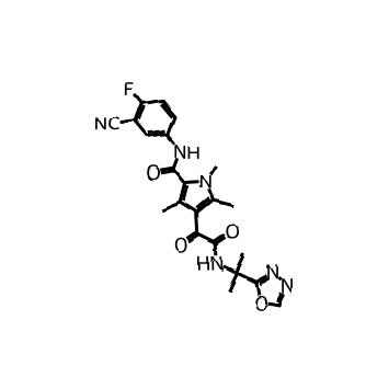 Cc1c(C(=O)C(=O)NC(C)(C)c2nnco2)c(C)n(C)c1C(=O)Nc1ccc(F)c(C#N)c1